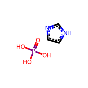 O=P(O)(O)O.c1c[nH]cn1